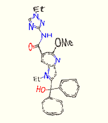 CCn1cnc(NC(=O)c2cc3c(cc(C(O)(c4ccccc4)c4ccccc4)n3CC)nc2OC)n1